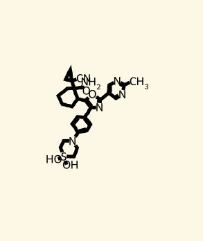 Cc1ncc(-c2nc(-c3ccc(N4CCS(O)(O)CC4)cc3)c(C3CCCCC3(C(N)=O)C3(C#N)CC3)o2)cn1